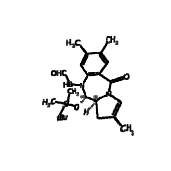 CC1=CN2C(=O)c3cc(C)c(C)cc3N(BC=O)[C@@H](O[Si](C)(C)C(C)(C)C)[C@@H]2C1